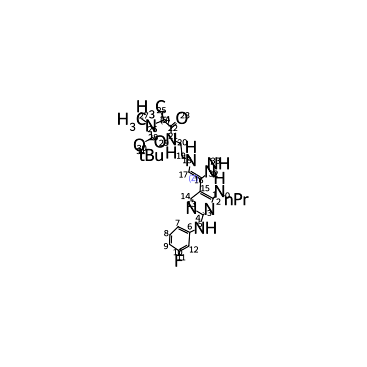 CCCNc1nc(Nc2cccc(F)c2)ncc1/C(=C/NCCNC(=O)[C@H](C)N(C)C(=O)OC(C)(C)C)N=N